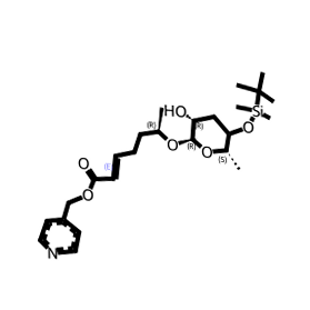 C[C@H](CC/C=C/C(=O)OCc1ccncc1)O[C@@H]1O[C@@H](C)C(O[Si](C)(C)C(C)(C)C)C[C@H]1O